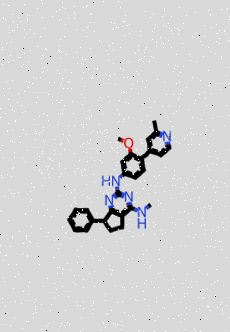 CNc1nc(Nc2ccc(-c3ccnc(C)c3)c(OC)c2)nc2c1CCC2c1ccccc1